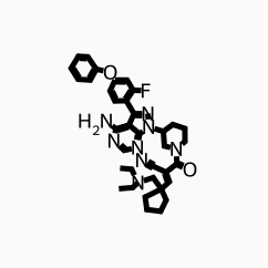 CCN(CC)CC1(C=C(C#N)C(=O)N2CCCC(n3nc(-c4ccc(Oc5ccccc5)cc4F)c4c(N)ncnc43)C2)CCCC1